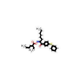 C=C/C(=C\C=C/C)C(=O)O/N=C(/CCCCCC)C(=O)c1ccc(Sc2ccccc2)cc1